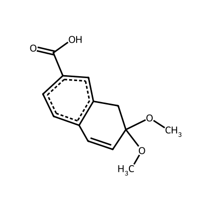 COC1(OC)C=Cc2ccc(C(=O)O)cc2C1